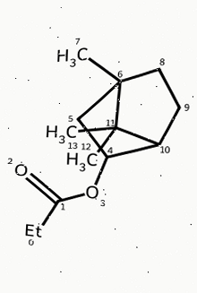 CCC(=O)OC1CC2(C)CCC1C2(C)C